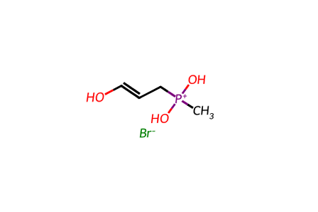 C[P+](O)(O)CC=CO.[Br-]